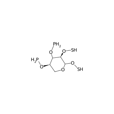 POC1[C@@H](OS)C(OS)OC[C@H]1OP